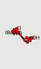 CCOc1cc(C(C)(C)C)ccc1C1=N[C@@](C)(c2ccc(Cl)cc2)[C@@](C)(c2ccc(Cl)cc2)N1C(=O)N1CCN(CCC(=O)CCCCCCCCCCCCCc2cccc(-c3c(C)nn4c(N5CCN(CCO)CC5)cc(-c5ccccc5)nc34)c2)CC1